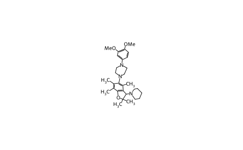 COc1ccc(N2CCN(c3c(C)c(C)c4c(c3C)C(N3CCCCC3)C(C)(C)O4)CC2)cc1OC